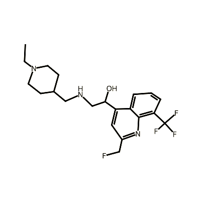 CCN1CCC(CNCC(O)c2cc(CF)nc3c(C(F)(F)F)cccc23)CC1